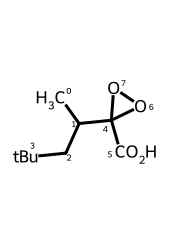 CC(CC(C)(C)C)C1(C(=O)O)OO1